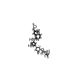 COCc1cc2c(Nc3cc([C@@H]4C[C@H](OC(=O)NC5(C)CC5)[C@@H](F)C4)[nH]n3)nccn2n1